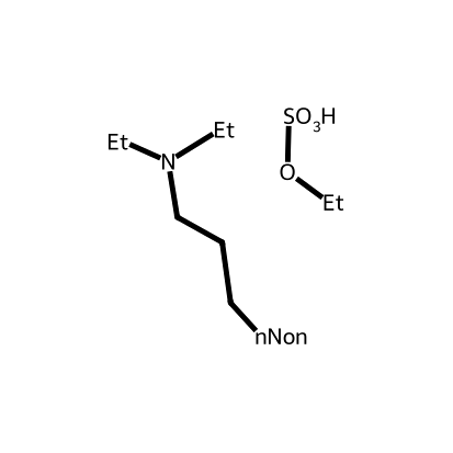 CCCCCCCCCCCCN(CC)CC.CCOS(=O)(=O)O